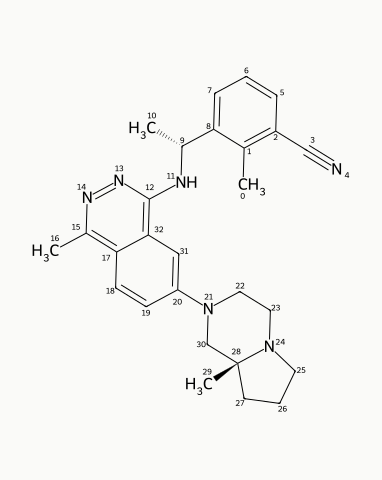 Cc1c(C#N)cccc1[C@@H](C)Nc1nnc(C)c2ccc(N3CCN4CCC[C@]4(C)C3)cc12